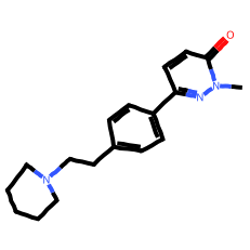 Cn1nc(-c2ccc(CCN3CCCCC3)cc2)ccc1=O